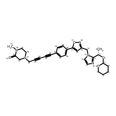 C[C@H](OC1CCCCO1)c1nccn1Cc1cc(-c2ccc(C#CC#CCN3CCN(C)C(=O)C3)cc2)on1